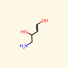 NCC(O)C=CO